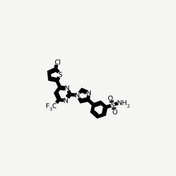 NS(=O)(=O)c1cccc(-c2cn(-c3nc(-c4ccc(Cl)s4)cc(C(F)(F)F)n3)cn2)c1